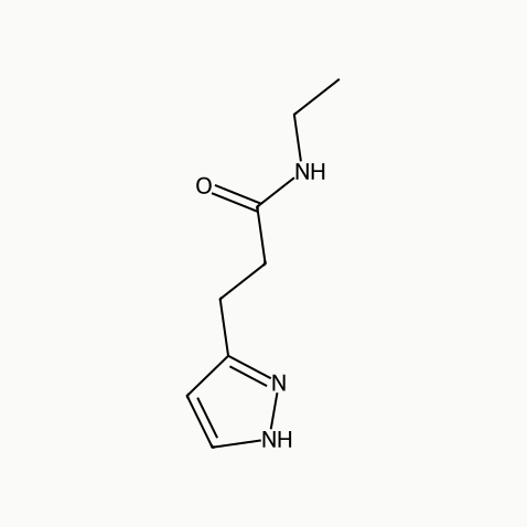 CCNC(=O)CCc1cc[nH]n1